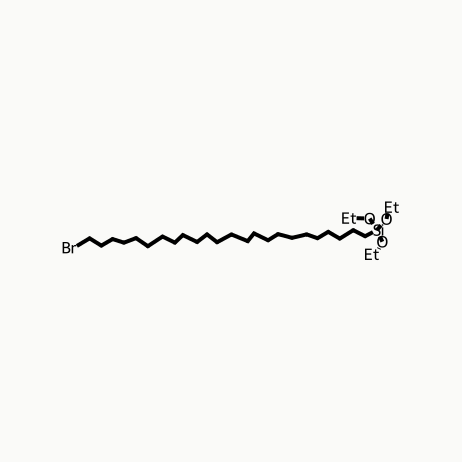 CCO[Si](CCCCCCCCCCCCCCCCCCCCCCCCBr)(OCC)OCC